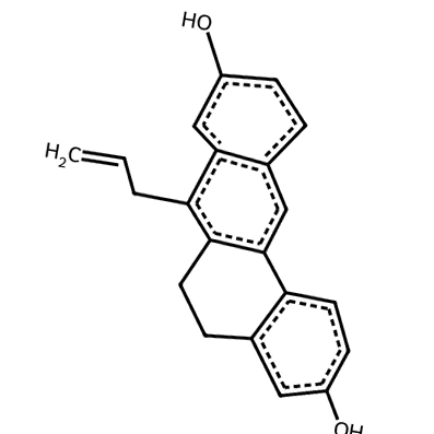 C=CCc1c2c(cc3ccc(O)cc13)-c1ccc(O)cc1CC2